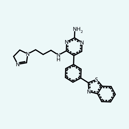 Nc1ncc(-c2cccc(-c3nc4ccccc4s3)c2)c(NCCCN2C=NCC2)n1